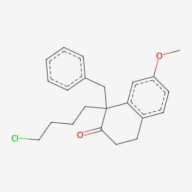 COc1ccc2c(c1)C(CCCCCl)(Cc1ccccc1)C(=O)CC2